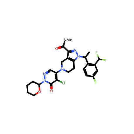 CNC(=O)c1nn(C(C)c2ccc(F)cc2C(F)F)c2c1CN(c1cnn(C3CCCCO3)c(=O)c1Cl)CC2